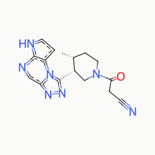 C[C@@H]1CCN(C(=O)CC#N)C[C@@H]1c1nnc2cnc3[nH]ccc3n12